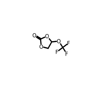 O=C1OCC(OC(F)(F)F)O1